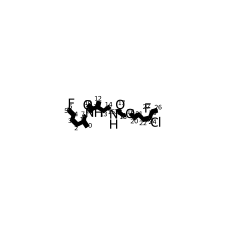 C=C(/C=C\C=C\F)CNC(=O)C(=C)CCNC(=O)CO/C=C/C=C(/Cl)C(=C)F